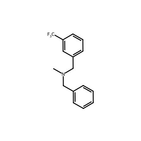 CN(Cc1ccccc1)Cc1cccc(C(F)(F)F)c1